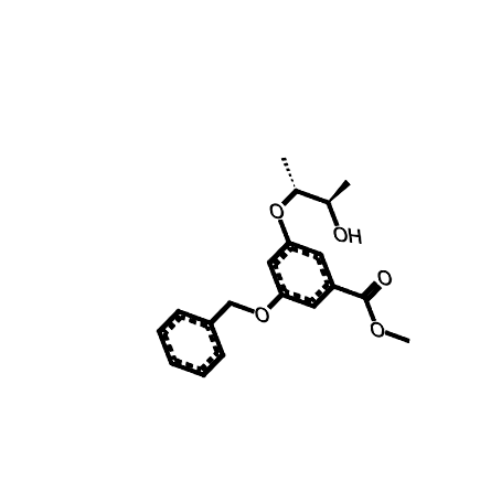 COC(=O)c1cc(OCc2ccccc2)cc(O[C@H](C)[C@@H](C)O)c1